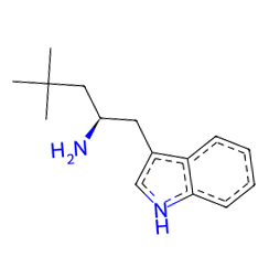 CC(C)(C)C[C@H](N)Cc1c[nH]c2ccccc12